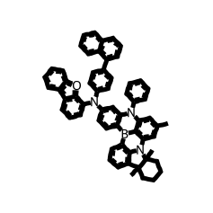 Cc1cc2c3c(c1)N1c4c(cccc4C4(C)CCCCC14C)B3c1ccc(N(c3ccc(-c4cccc5ccccc45)cc3)c3cccc4c3oc3ccccc34)cc1N2c1ccccc1